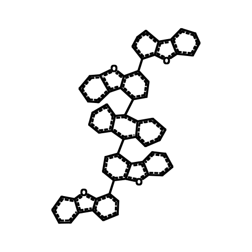 c1ccc2c(c1)oc1c(-c3ccc(-c4c5ccccc5c(-c5ccc(-c6cccc7c6oc6ccccc67)c6oc7ccccc7c56)c5ccccc45)c4c3oc3ccccc34)cccc12